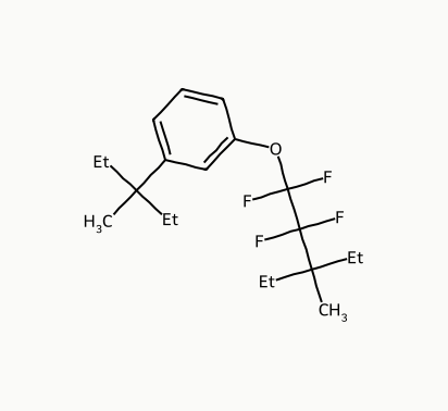 CCC(C)(CC)c1cccc(OC(F)(F)C(F)(F)C(C)(CC)CC)c1